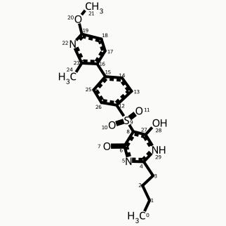 CCCCc1nc(=O)c(S(=O)(=O)c2ccc(-c3ccc(OC)nc3C)cc2)c(O)[nH]1